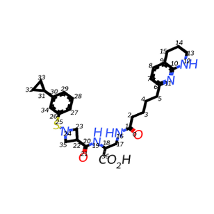 O=C(CCCCc1ccc2c(n1)NCCC2)NCC(NC(=O)C1CN(Sc2cccc(C3CC3)c2)C1)C(=O)O